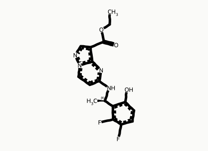 CCOC(=O)c1cnn2ccc(N[C@H](C)c3c(O)ccc(F)c3F)nc12